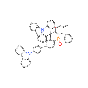 C=C/C=C\C1=C(C)P(=O)(c2ccccc2)c2ccc(-c3ccc(-n4c5ccccc5c5ccccc54)cc3)cc2C12c1ccccc1-n1c3ccccc3c3cccc2c31